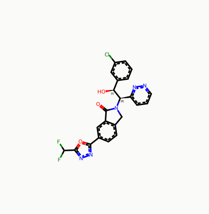 O=C1c2cc(-c3nnc(C(F)F)o3)ccc2CN1[C@H](c1cccnn1)[C@@H](O)c1cccc(Cl)c1